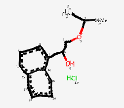 CNC(C)OCC(O)c1cccc2ccccc12.Cl